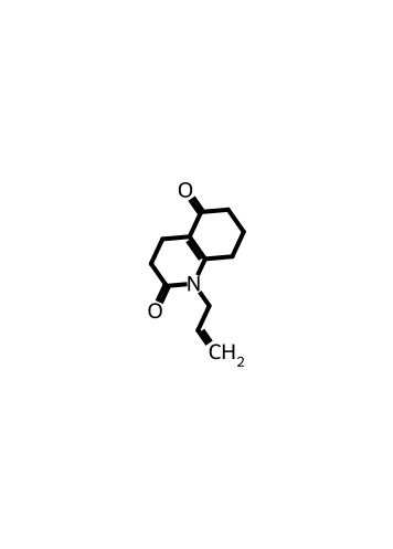 C=CCN1C(=O)CCC2=C1CCCC2=O